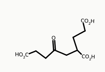 O=C(O)CCC(=O)CC(CCC(=O)O)C(=O)O